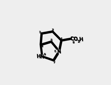 O=C(O)C1CCC2CN1CN2